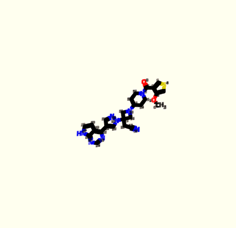 COc1cscc1C(=O)N1CCC(N2CC(CC#N)(n3cc(-c4ncnc5[nH]ccc45)cn3)C2)CC1